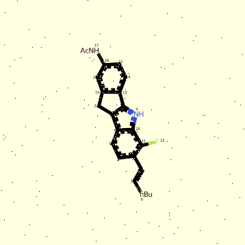 CCCC/C=C/c1ccc2c3c([nH]c2c1F)-c1ccc(NC(C)=O)cc1C3